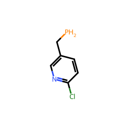 PCc1ccc(Cl)nc1